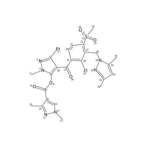 CCc1nn(C)c(OC(=O)c2cn(C)nc2C)c1C(=O)c1ccc(S(C)(=O)=O)c(Cn2nc(C)cc2C)c1Cl